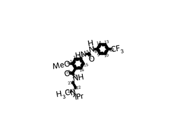 COc1cc(NC(=O)Nc2ccc(C(F)(F)F)cc2)ccc1C(=O)NCCN(C)C(C)C